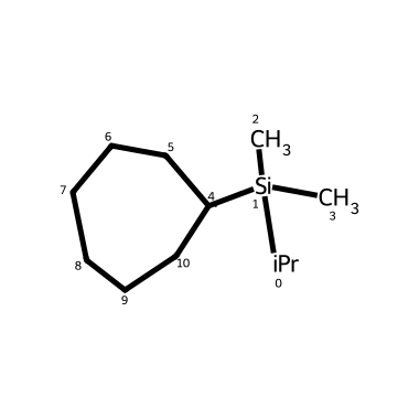 CC(C)[Si](C)(C)[C]1CCCCCC1